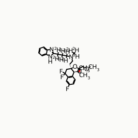 [2H]C([2H])([2H])N(CC[C@@]1(OC(=O)COC)CC(F)(F)c2cc(F)ccc2[C@@H]1C(C)C)C([2H])([2H])C([2H])([2H])C([2H])([2H])c1nc2ccccc2[nH]1